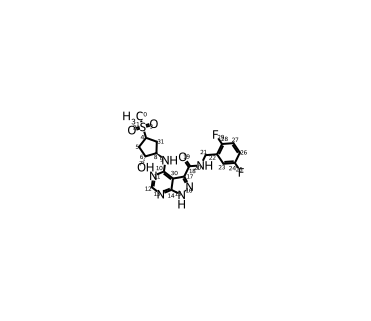 CS(=O)(=O)C1C[C@@H](O)[C@H](Nc2ncnc3[nH]nc(C(=O)NCc4cc(F)ccc4F)c23)C1